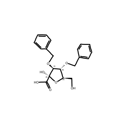 O=C(O)[C@]1(O)O[C@H](CO)[C@@H](OCc2ccccc2)[C@@H]1OCc1ccccc1